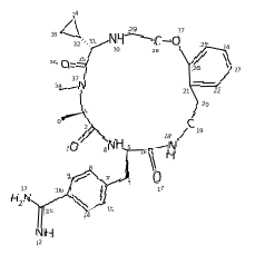 C[C@@H]1C(=O)N[C@H](Cc2ccc(C(=N)N)cc2)C(=O)NCCc2ccccc2OCCN[C@@H](C2CC2)C(=O)N1C